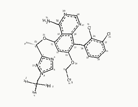 [2H]C([2H])([2H])n1cnc([C@H](C)Oc2cc(OCC(F)(F)F)c(-c3cccc(Cl)c3Cl)c3ncnc(N)c23)n1